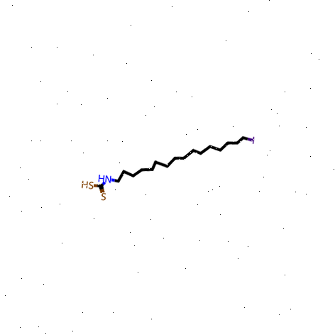 S=C(S)NCCCCCCCCCCCCCCCCI